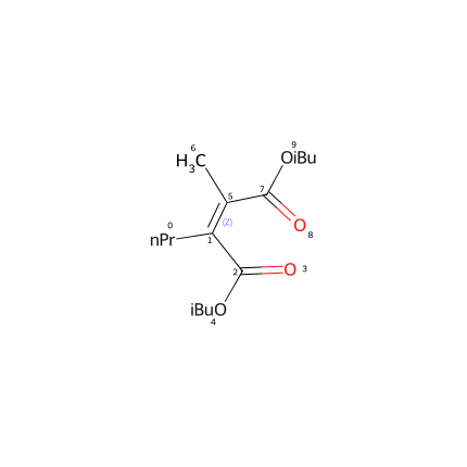 CCC/C(C(=O)OCC(C)C)=C(\C)C(=O)OCC(C)C